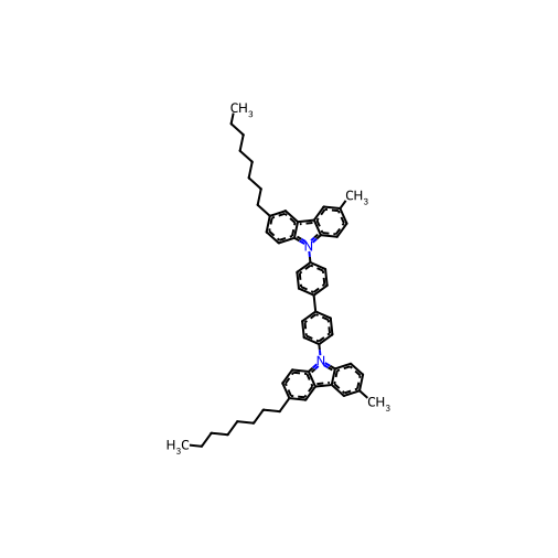 CCCCCCCCc1ccc2c(c1)c1cc(C)ccc1n2-c1ccc(-c2ccc(-n3c4ccc(C)cc4c4cc(CCCCCCCC)ccc43)cc2)cc1